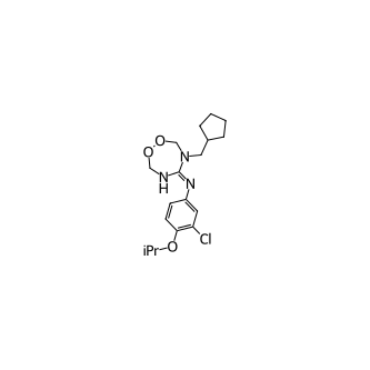 CC(C)Oc1ccc(/N=C2\NCOOCN2CC2CCCC2)cc1Cl